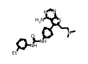 CCc1cccc(NC(=O)Nc2ccc(-c3c(CCN(C)C)sc4ncnc(N)c34)cc2)c1